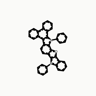 c1ccc(-n2c3ccccc3c3oc4c(ccc5c6c7ccccc7c7ccccc7c6n(-c6ccccc6)c54)c32)cc1